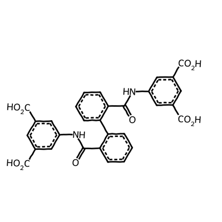 O=C(O)c1cc(NC(=O)c2ccccc2-c2ccccc2C(=O)Nc2cc(C(=O)O)cc(C(=O)O)c2)cc(C(=O)O)c1